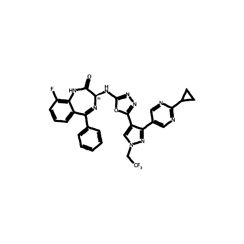 O=C1Nc2c(F)cccc2C(c2ccccc2)=N[C@@H]1Nc1nnc(-c2cn(CC(F)(F)F)nc2-c2cnc(C3CC3)nc2)o1